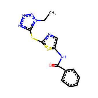 CCn1nnnc1Sc1ncc(NC(=O)c2ccccc2)s1